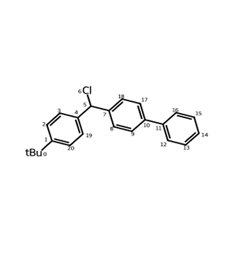 CC(C)(C)c1ccc(C(Cl)c2ccc(-c3ccccc3)cc2)cc1